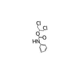 O=C(Nc1ccccc1)OC(CCl)CCl